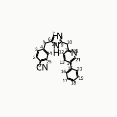 N#Cc1ccc(Cc2cnc(Cc3ccc(-c4ccccc4)cn3)[nH]2)cc1